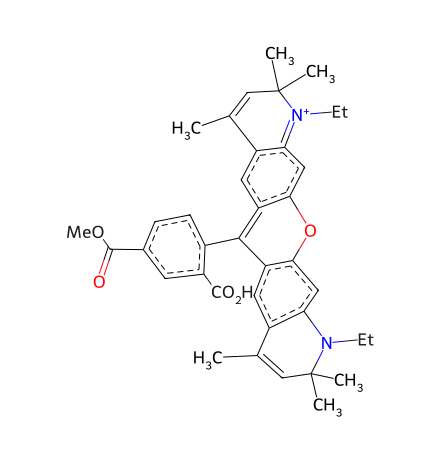 CCN1c2cc3c(cc2C(C)=CC1(C)C)C(c1ccc(C(=O)OC)cc1C(=O)O)=c1cc2c(cc1O3)=[N+](CC)C(C)(C)C=C2C